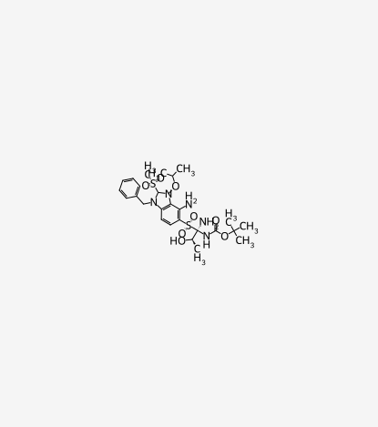 CC(C)ON1c2c(ccc(S(=O)(=O)[C@@](N)(NC(=O)OC(C)(C)C)[C@@H](C)O)c2N)N(Cc2ccccc2)C1S(C)(=O)=O